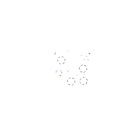 COc1c(C[C@H](NC(=O)/C(=N\OC(c2ccccc2)(c2ccccc2)c2ccccc2)c2csc(NCCF)n2)B2OC3C[C@H]4C[C@@H](C4(C)C)[C@]3(C)O2)cccc1C(=O)OC(C)(C)C